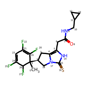 CC1([C@H]2Cc3c(CC(=O)NCC4CC4)[nH]c(=S)n3C2)C(F)=C(F)C=C(F)C1F